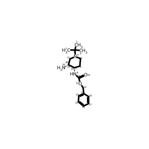 CC(C)(C)N1CC[C@H](NC(=O)OCc2ccccc2)[C@H](N)C1